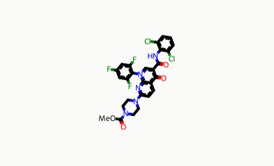 COC(=O)N1CCN(c2ccc3c(=O)c(C(=O)Nc4c(Cl)cccc4Cl)cn(-c4c(F)cc(F)cc4F)c3n2)CC1